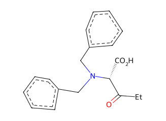 CCC(=O)[C@@H](C(=O)O)N(Cc1ccccc1)Cc1ccccc1